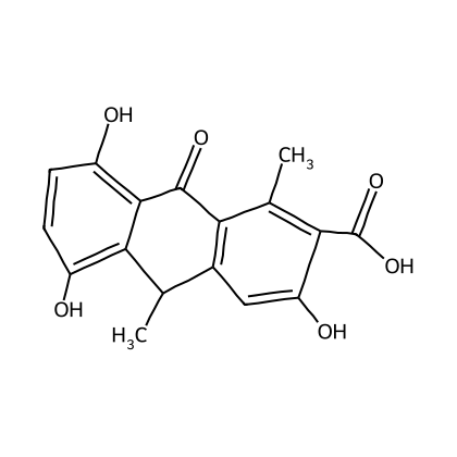 Cc1c(C(=O)O)c(O)cc2c1C(=O)c1c(O)ccc(O)c1C2C